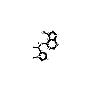 CC(Nc1ncnc2scc(Cl)c12)c1cccn1C